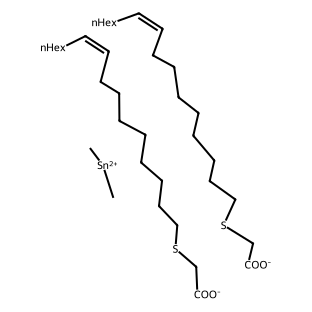 CCCCCC/C=C\CCCCCCCCSCC(=O)[O-].CCCCCC/C=C\CCCCCCCCSCC(=O)[O-].[CH3][Sn+2][CH3]